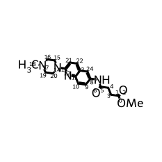 COC(=O)CCC(=O)Nc1ccc2nc(N3CCN(C)CC3)ccc2c1